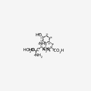 C[C@H](N)C(=O)O.NCC(=O)O.N[C@@H](Cc1ccc(O)cc1)C(=O)O